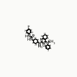 Cc1ccccc1N(C)c1nc(NC2CCC(NC(=S)Nc3ccc(I)cc3)CC2)nc2c1CCCC2